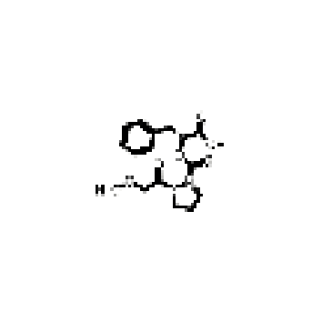 COCC(=O)N1CCCN1C(=O)O[C@@H](Cc1ccccc1)C(=O)O